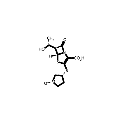 C[C@@H](O)[C@H]1C(=O)N2C(C(=O)O)=C(S[C@@H]3CC[S@+]([O-])C3)S[C@H]12